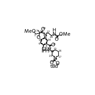 COCC1(C)Oc2cc(C(F)(F)F)c(C(=O)N(C(C)C)[C@@H]3CCCN(C(=O)OC(C)(C)C)C3)cc2N(CCNC(=O)OC)C1=O